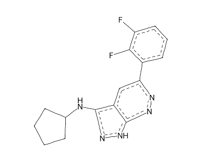 Fc1cccc(-c2cc3c(NC4CCCC4)n[nH]c3nn2)c1F